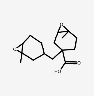 CC12CCC(CC3CCC4OC4(C)C3)(C(=O)O)CC1O2